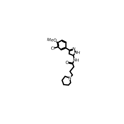 COc1ccc(C2=NNC(NC(=O)CCCN3CCCCC3)C2)cc1Cl